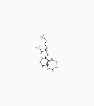 CC(C)(C)CC/C=C(/CN1CCC[N+]2=C1CCCCC2)CC(C)(C)C